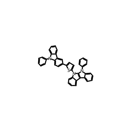 c1ccc(-n2c3ccccc3c3cc(-c4ccc(-n5c6ccccc6c6c7ccccc7n(-c7ccccc7)c65)s4)ccc32)cc1